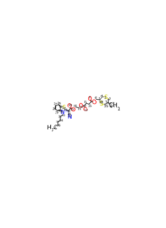 C=C1CSCC(COC(=O)CCC(=O)OCCOC(=O)/C(C#N)=C2\Sc3ccccc3N2CCCCCC)SC1